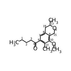 CCCCC(=O)c1cc2c(c(OC)c1C)COC(C)C2